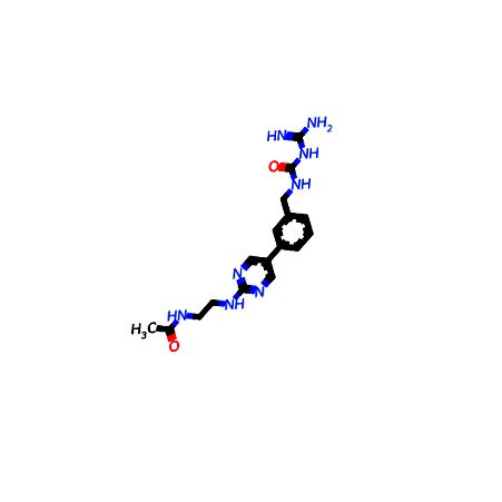 CC(=O)NCCNc1ncc(-c2cccc(CNC(=O)NC(=N)N)c2)cn1